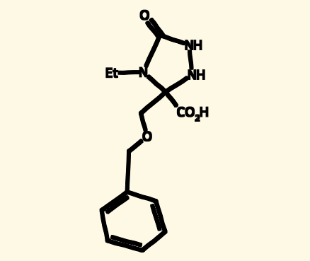 CCN1C(=O)NNC1(COCc1ccccc1)C(=O)O